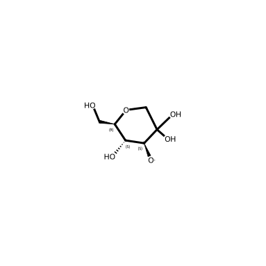 [O][C@H]1[C@H](O)[C@@H](CO)OCC1(O)O